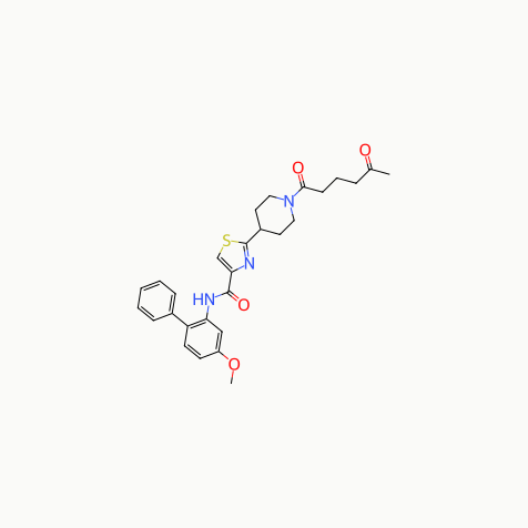 COc1ccc(-c2ccccc2)c(NC(=O)c2csc(C3CCN(C(=O)CCCC(C)=O)CC3)n2)c1